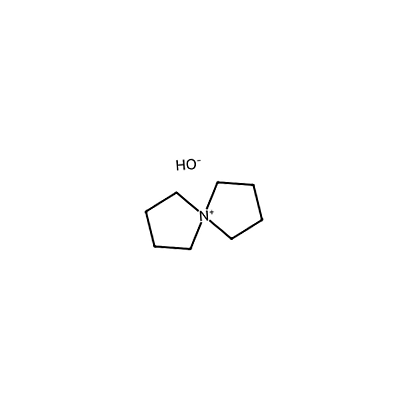 C1CC[N+]2(C1)CCCC2.[OH-]